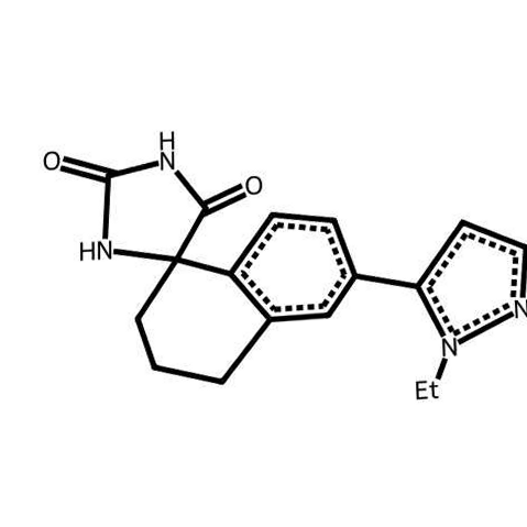 CCn1nccc1-c1ccc2c(c1)CCCC21NC(=O)NC1=O